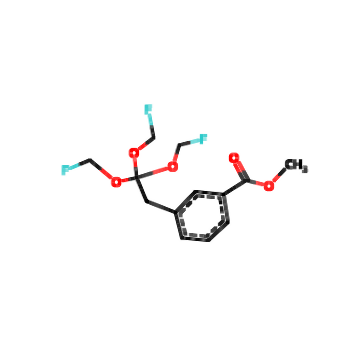 COC(=O)c1cccc(CC(OCF)(OCF)OCF)c1